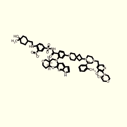 COc1cc(CN2CCN(C3CC4(CCN(c5ccc(C(=O)NS(=O)(=O)c6ccc(NCC7CCC(C)(O)CC7)c([N+](=O)[O-])c6)c(N6C[C@H]7COCC[C@@H]7Oc7nc8[nH]ccc8cc76)c5)CC4)C3)[C@H](c3ccccc3C)C2)cnc1N1CCOCC1